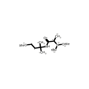 COCCC(C)(C)NC(=O)C(C)N(OC)C(C)(C)C